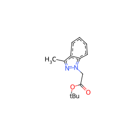 Cc1nn(CC(=O)OC(C)(C)C)c2ccccc12